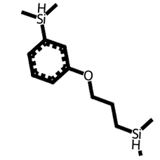 C[SiH](C)CCCOc1cccc([SiH](C)C)c1